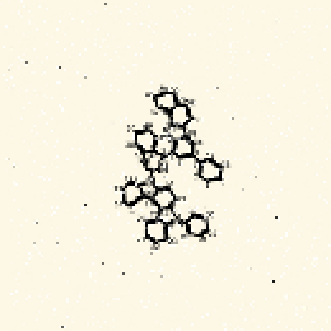 c1ccc(-c2cc(-c3nc(-n4c5ccccc5c5c6c7ccccc7n(-c7ccccc7)c6ccc54)nc4ccccc34)c3sc4c5ccccc5ccc4c3c2)cc1